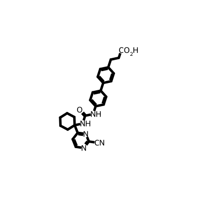 N#Cc1nccc(C2(NC(=O)Nc3ccc(-c4ccc(CCC(=O)O)cc4)cc3)CCCCC2)n1